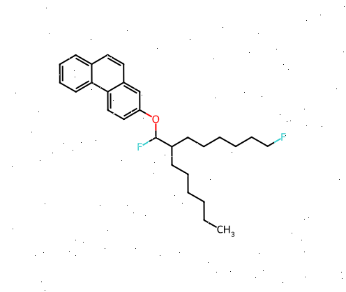 CCCCCCC(CCCCCCF)C(F)Oc1ccc2c(ccc3ccccc32)c1